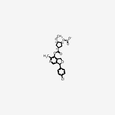 CO[C@H]1C[C@H](C(=O)Oc2c(C)ncc3c2COC3c2ccc(Cl)cc2)C[C@H]1O[N+](=O)[O-]